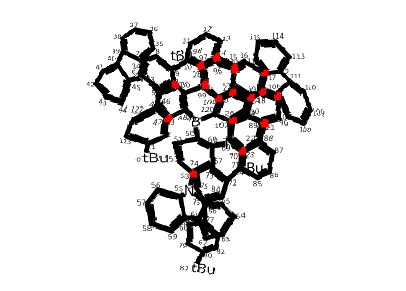 CC(C)(C)c1ccc(-c2cccc(-c3cccc(-c4cccc(-c5ccc(C(C)(C)C)cc5)c4)c3N3c4cc(-n5c6ccccc6c6ccccc65)ccc4B4c5ccc(-n6c7ccccc7c7ccccc76)cc5N(c5c(-c6cccc(-c7ccc(C(C)(C)C)cc7)c6)cccc5-c5cccc(-c6ccc(C(C)(C)C)cc6)c5)c5cc(-n6c7ccccc7c7ccccc76)cc3c54)c2)cc1